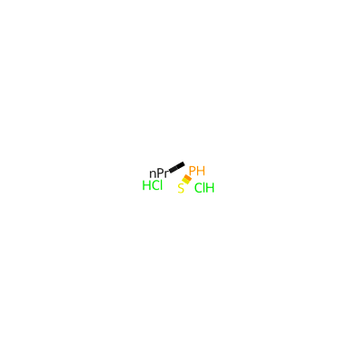 CCCC.Cl.Cl.P=S